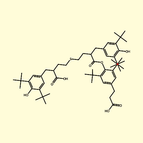 CC(C)(C)c1cc(CC(CCSCCC(Cc2cc(C(C)(C)C)c(O)c(C(C)(C)C)c2)C(=O)Oc2c(C(C)(C)C)cc(CCC(=O)O)cc2C(C)(C)C)C(=O)O)cc(C(C)(C)C)c1O